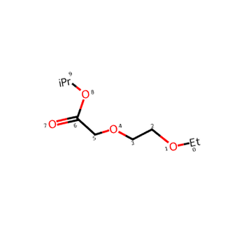 CCOCCOCC(=O)OC(C)C